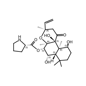 C=C[C@@]1(C)CC(=O)[C@]2(O)[C@@]3(C)[C@@H](O)CCC(C)(C)[C@@H]3[C@H](O)[C@H](OC(=O)[C@@H]3CCCN3)[C@@]2(C)O1